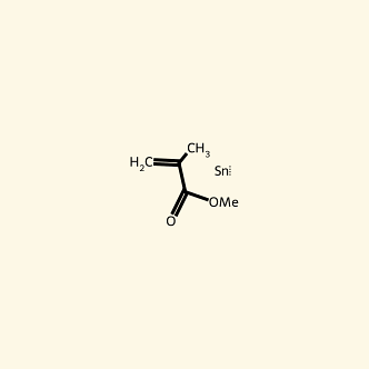 C=C(C)C(=O)OC.[Sn]